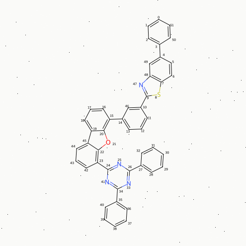 c1ccc(-c2ccc3sc(-c4cccc(-c5cccc6c5oc5c(-c7nc(-c8ccccc8)nc(-c8ccccc8)n7)cccc56)c4)nc3c2)cc1